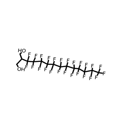 OCC(CO)C(F)(F)C(F)(F)C(F)(F)C(F)(F)C(F)(F)C(F)(F)C(F)(F)C(F)(F)C(F)(F)C(F)(F)C(F)(F)C(F)(F)F